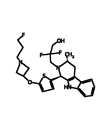 C[C@@H]1Cc2c([nH]c3ccccc23)[C@@H](c2ccc(OC3CN(CCCF)C3)s2)N1CC(F)(F)CO